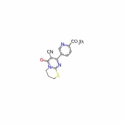 CCOC(=O)c1ccc(-c2nc3n(c(=O)c2C#N)CCCS3)cn1